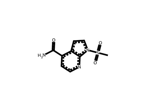 CS(=O)(=O)n1ccc2c(C(N)=O)ccnc21